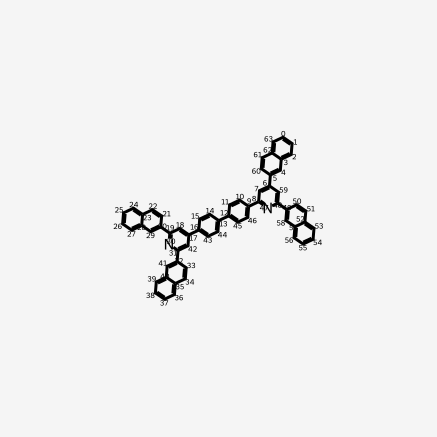 c1ccc2cc(-c3cc(-c4ccc(-c5ccc(-c6cc(-c7ccc8ccccc8c7)nc(-c7ccc8ccccc8c7)c6)cc5)cc4)nc(-c4ccc5ccccc5c4)c3)ccc2c1